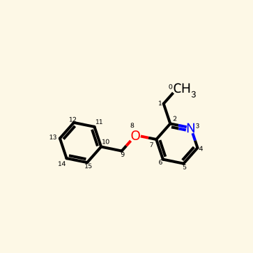 CCc1ncccc1OCc1ccccc1